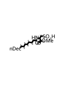 CCCCCCCCCCCCCCCCCC(=O)NC(CS(=O)(=O)O)C(=O)OC